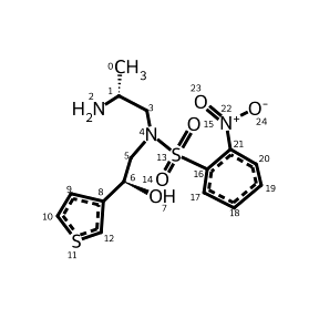 C[C@@H](N)CN(C[C@@H](O)c1ccsc1)S(=O)(=O)c1ccccc1[N+](=O)[O-]